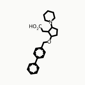 O=C(O)CC1C(OCc2ccc(-c3ccccc3)cc2)CCC1N1CCCCC1